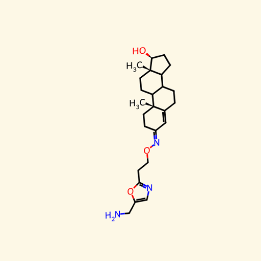 C[C@]12CCC(=NOCCc3ncc(CN)o3)C=C1CCC1C2CC[C@@]2(C)C1CC[C@@H]2O